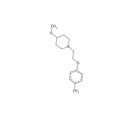 COC1CCN(CCOc2ccc(C)cc2)CC1